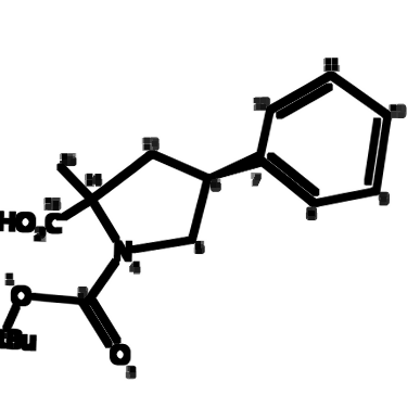 CC(C)(C)OC(=O)N1C[C@H](c2ccccc2)CC1(C)C(=O)O